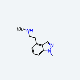 Cn1ncc2c(CCNC(C)(C)C)cccc21